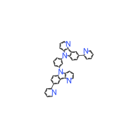 c1ccc(-c2ccc3c(c2)c2ncccc2n3-c2cccc(-n3c4ccc(-c5ccccn5)cc4c4ncccc43)c2)nc1